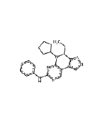 CCC1c2nncn2-c2cnc(Nc3ccccc3)nc2N1C1CCCC1